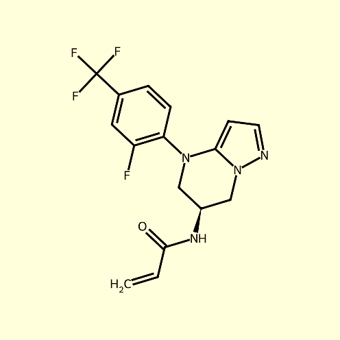 C=CC(=O)N[C@H]1CN(c2ccc(C(F)(F)F)cc2F)c2ccnn2C1